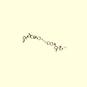 C=C1NC(=O)CCN1c1cc(C(=O)N2CCC3(CCN(CCCCN4CCC(n5cc6cc(NC(=O)c7cccc(C(F)(F)F)n7)c(OC)cc6n5)CC4)CC3)CC2)ccc1OC